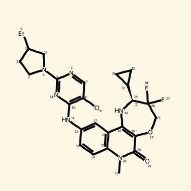 CCC1CCN(c2ncc(Cl)c(Nc3ccc4c(c3)c3c(c(=O)n4C)OCC(F)(F)[C@H](C4CC4)N3)n2)C1